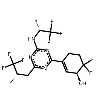 C[C@@H](Cc1nc(N[C@H](C)C(F)(F)F)nc(C2=C[C@H](O)C(F)(F)CC2)n1)C(F)(F)F